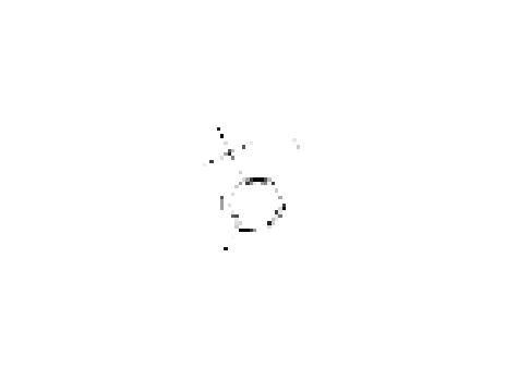 CC(=O)NC(C)(C)c1cccc(C)n1